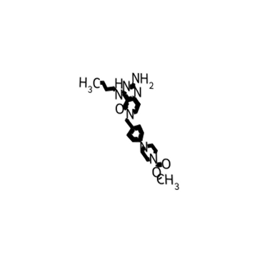 CCCCNc1nc(N)nc2ccn(Cc3ccc(N4CCN(C(=O)OC)CC4)cc3)c(=O)c12